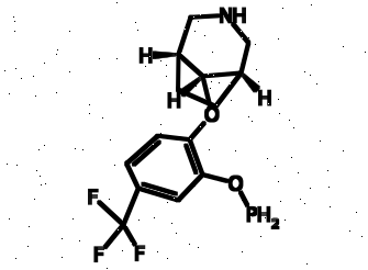 FC(F)(F)c1ccc(O[C@@H]2[C@@H]3CC[C@H]2CNC3)c(OP)c1